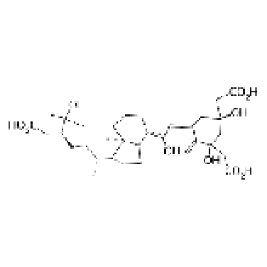 C=C1/C(=C\C(O)=C2CCC[C@@]3(C)C2CC[C@@H]3[C@H](C)CC[C@@H](CC(=O)O)C(C)(C)O)C[C@](O)(CC(=O)O)C[C@]1(O)CC(=O)O